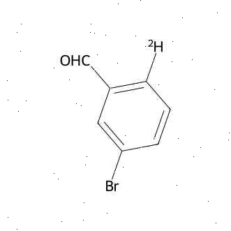 [2H]c1ccc(Br)cc1C=O